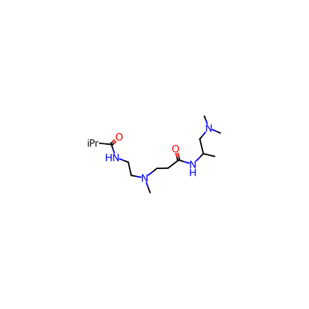 CC(CN(C)C)NC(=O)CCN(C)CCNC(=O)C(C)C